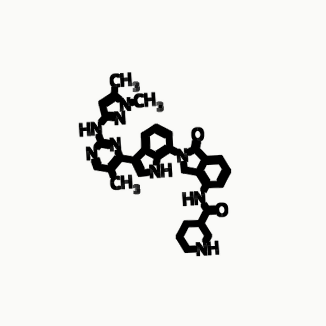 Cc1cnc(Nc2cc(C)n(C)n2)nc1-c1c[nH]c2c(N3Cc4c(NC(=O)C5CCCNC5)cccc4C3=O)cccc12